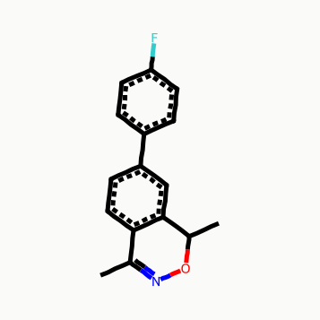 CC1=NOC(C)c2cc(-c3ccc(F)cc3)ccc21